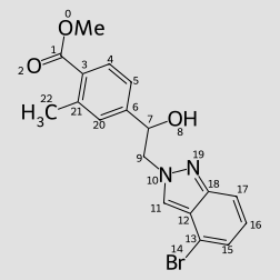 COC(=O)c1ccc(C(O)Cn2cc3c(Br)cccc3n2)cc1C